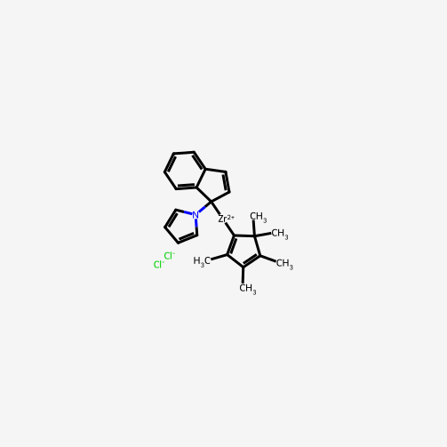 CC1=C(C)C(C)(C)[C]([Zr+2][C]2(n3cccc3)C=Cc3ccccc32)=C1C.[Cl-].[Cl-]